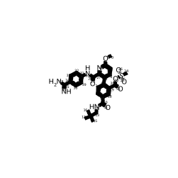 COc1ccc(-c2ccc(C(=O)NCC(C)(C)C)cc2C(=O)OS(C)(=O)=O)c(C(=O)Nc2ccc(C(=N)N)cc2)n1